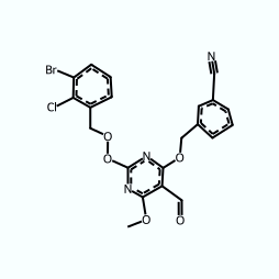 COc1nc(OOCc2cccc(Br)c2Cl)nc(OCc2cccc(C#N)c2)c1C=O